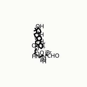 CC(COC(=O)[C@]12CC[C@@H](C)[C@H](C)[C@H]1C1=CC[C@@H]3[C@@]4(C)CC[C@H](O)C(C)(C)C4CC[C@@]3(C)[C@]1(C)CC2)ON[C@H](C(=O)N[C@H](C=O)C(C)C)C(C)C